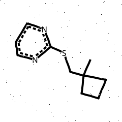 CC1(CSc2ncccn2)CCC1